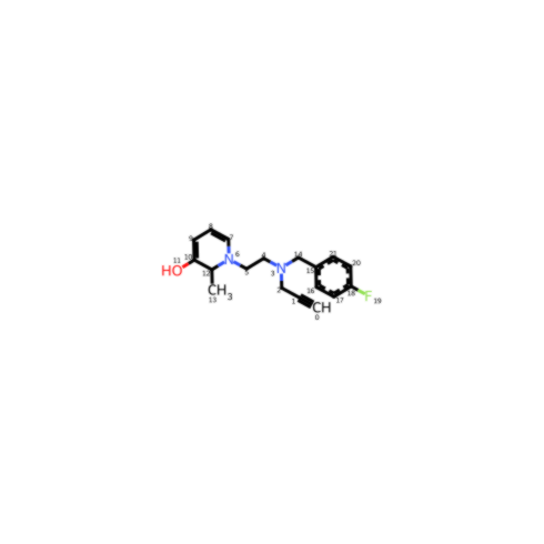 C#CCN(CCN1C=CC=C(O)C1C)Cc1ccc(F)cc1